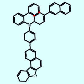 C1=Cc2c(oc3ccc4cc(C5=CC=C(N(c6ccccc6-c6ccccc6)C6C=CC(c7ccc8ccccc8c7)=CC6)CC5)ccc4c23)CC1